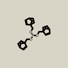 C1=CC2(COP(OCC34C=CC(CC3)C4)OCC34C=CC(CC3)C4)CCC1C2